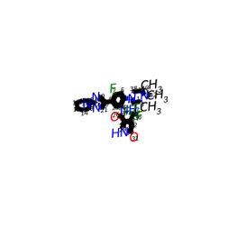 CC1CN(c2cc(F)c(-c3cnc(N4C5CCC4CC5)nc3)cc2NC(=O)c2c[nH]c(=O)cc2C(F)(F)F)CC(C)N1C